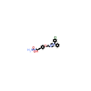 NC(=O)N(O)CCC#Cc1ccc(OCCCN2CCN([C@H](c3ccccc3)c3ccc(Cl)cc3)CC2)cc1